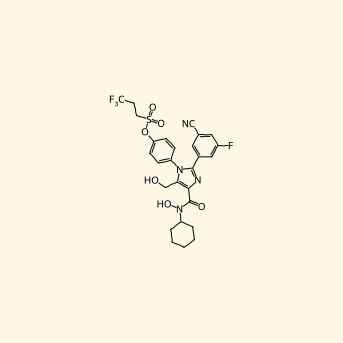 N#Cc1cc(F)cc(-c2nc(C(=O)N(O)C3CCCCC3)c(CO)n2-c2ccc(OS(=O)(=O)CCC(F)(F)F)cc2)c1